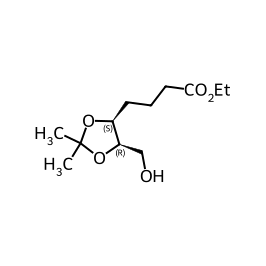 CCOC(=O)CCC[C@@H]1OC(C)(C)O[C@@H]1CO